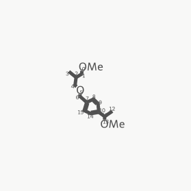 COCC(C)COCc1ccc(C(C)OC)cc1